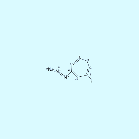 CC1=CCC=CC(N=[N+]=[N-])=C1